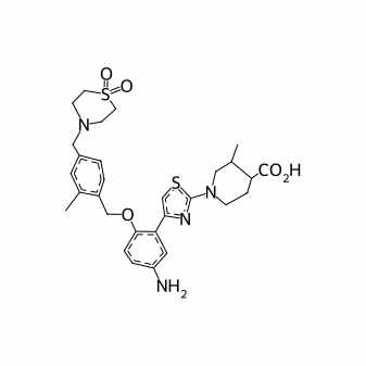 Cc1cc(CN2CCS(=O)(=O)CC2)ccc1COc1ccc(N)cc1-c1csc(N2CCC(C(=O)O)C(C)C2)n1